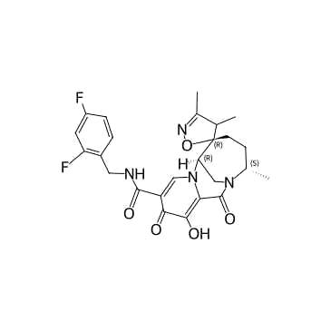 CC1=NO[C@]2(CC[C@H](C)N3C[C@H]2n2cc(C(=O)NCc4ccc(F)cc4F)c(=O)c(O)c2C3=O)C1C